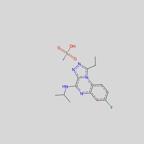 CCc1nnc2c(NC(C)C)nc3cc(F)ccc3n12.CS(=O)(=O)O